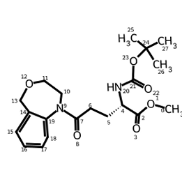 COC(=O)[C@H](CCC(=O)N1CCOCc2ccccc21)NC(=O)OC(C)(C)C